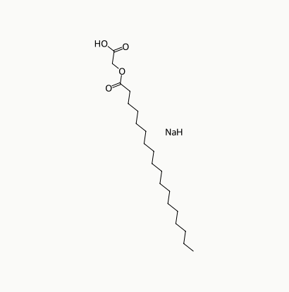 CCCCCCCCCCCCCCCCCC(=O)OCC(=O)O.[NaH]